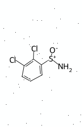 N[S+]([O-])c1cccc(Cl)c1Cl